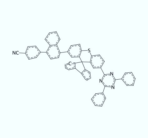 N#Cc1ccc(-c2ccc(-c3ccc4c(c3)C3(c5cc(-c6nc(-c7ccccc7)nc(-c7ccccc7)n6)ccc5S4)c4ccccc4-c4ccccc43)c3ccccc23)cc1